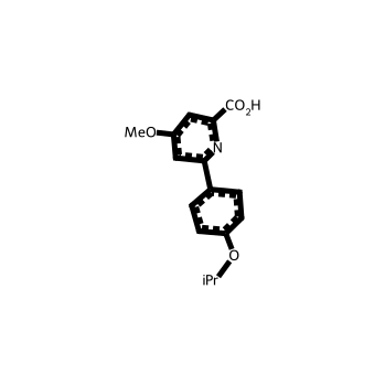 COc1cc(C(=O)O)nc(-c2ccc(OC(C)C)cc2)c1